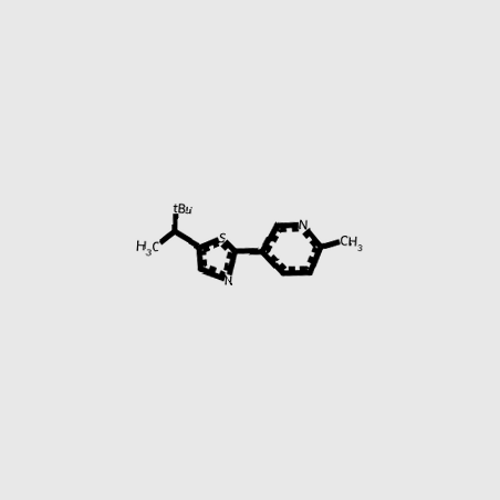 Cc1ccc(-c2ncc(C(C)C(C)(C)C)s2)cn1